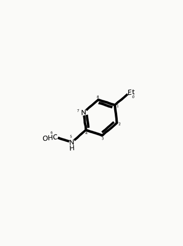 CCc1ccc(NC=O)nc1